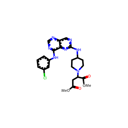 COC(=O)CC(C(=O)OC)N1CCC(Nc2ncc3ncnc(Nc4cccc(Cl)c4)c3n2)CC1